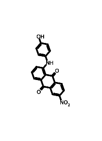 O=C1c2cc([N+](=O)[O-])ccc2C(=O)c2c(Nc3ccc(O)cc3)cccc21